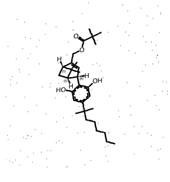 CCCCCCC(C)(C)c1cc(O)c([C@H]2C=C(COC(=O)C(C)(C)C)[C@H]3C[C@@H]2C3(C)C)c(O)c1